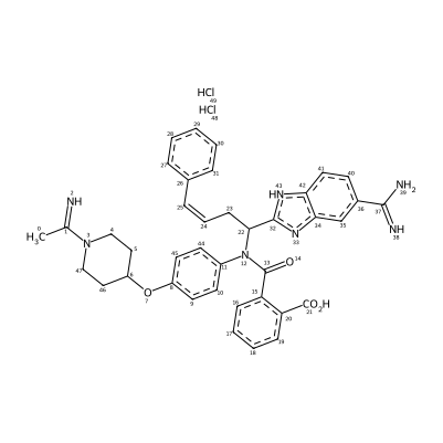 CC(=N)N1CCC(Oc2ccc(N(C(=O)c3ccccc3C(=O)O)C(CC=Cc3ccccc3)c3nc4cc(C(=N)N)ccc4[nH]3)cc2)CC1.Cl.Cl